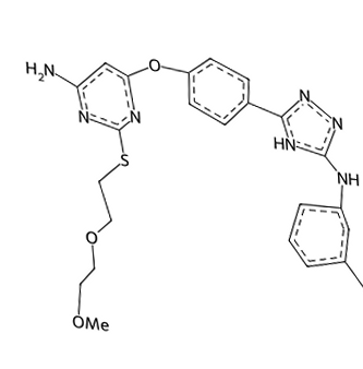 COCCOCCSc1nc(N)cc(Oc2ccc(-c3nnc(Nc4cccc(C)c4)[nH]3)cc2)n1